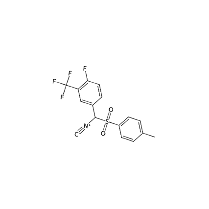 [C-]#[N+]C(c1ccc(F)c(C(F)(F)F)c1)S(=O)(=O)c1ccc(C)cc1